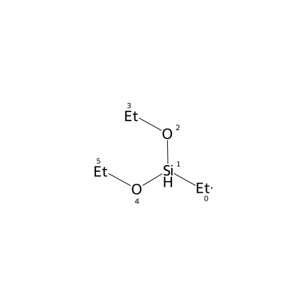 C[CH][SiH](OCC)OCC